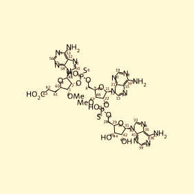 CO[C@H]1[C@@H](O[P@](O)(=S)OC[C@H]2O[C@@H](n3cnc4c(N)ncnc43)[C@H](O[P@](O)(=S)OC[C@H]3O[C@@H](n4cnc5c(N)ncnc54)[C@H](O)[C@@H]3O)[C@@H]2OC)[C@H](n2cnc3c(N)ncnc32)O[C@@H]1CCC(=O)O